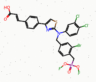 O=C(O)C=Cc1ccc(-c2csc(N(Cc3ccc(CP(=O)(OF)OF)c(Br)c3)c3ccc(Cl)c(Cl)c3)n2)cc1